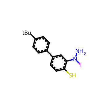 CC(C)(C)c1ccc(-c2ccc(S)c(N(N)I)c2)cc1